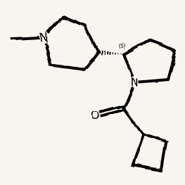 CN1CCC([C@@H]2CCCN2C(=O)C2CCC2)CC1